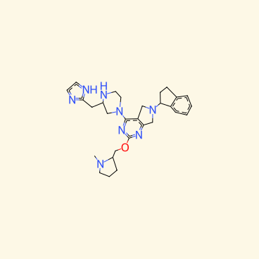 CN1CCCC1COc1nc2c(c(N3CCNC(Cc4ncc[nH]4)C3)n1)CN(C1CCc3ccccc31)C2